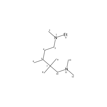 CCN(C)CCC(C)C(C)(C)CN(C)C